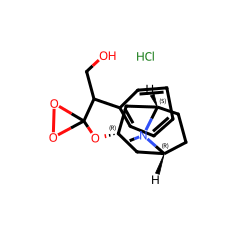 CN1[C@@H]2CC[C@H]1C[C@@H](OC1(C(CO)c3ccccc3)OO1)C2.Cl